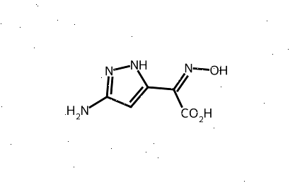 Nc1cc(C(=NO)C(=O)O)[nH]n1